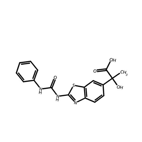 CC(O)(C(=O)O)c1ccc2nc(NC(=O)Nc3ccccc3)sc2c1